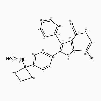 O=C(O)NC1(c2ccc(-c3oc4c(Br)c[nH]c(=O)c4c3-c3ccccc3)cc2)CCC1